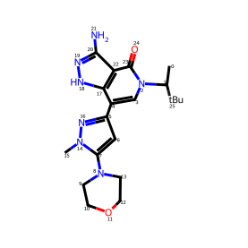 CC(n1cc(-c2cc(N3CCOCC3)n(C)n2)c2[nH]nc(N)c2c1=O)C(C)(C)C